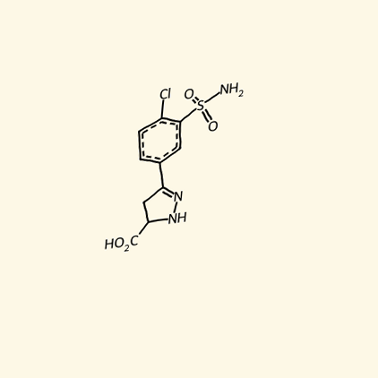 NS(=O)(=O)c1cc(C2=NNC(C(=O)O)C2)ccc1Cl